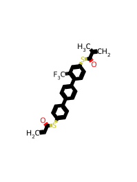 C=CC(=O)Sc1ccc(-c2ccc(-c3ccc(SC(=O)C(=C)C)cc3C(F)(F)F)cc2)cc1